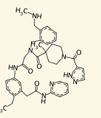 CCc1ccc(NC(=O)CN(Cc2ccccc2CNC)C(=O)C2(C)CCN(C(=O)c3ccn[nH]3)CC2)cc1CC(=O)Nc1ccccn1